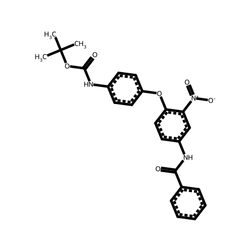 CC(C)(C)OC(=O)Nc1ccc(Oc2ccc(NC(=O)c3ccccc3)cc2[N+](=O)[O-])cc1